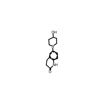 O=C1CCc2cc(N3CCC(O)CC3)ccc2N1